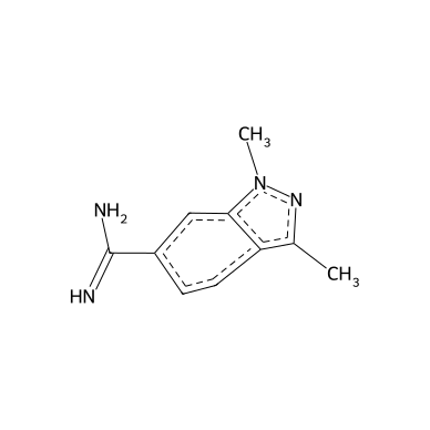 Cc1nn(C)c2cc(C(=N)N)ccc12